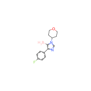 Bc1c(-c2ccc(F)cc2)ncn1C1CCOCC1